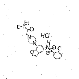 CCN(CC)C(=O)CN1CCN(c2cc(NS(=O)(=O)c3ccccc3Cl)cc3ccoc23)CC1.Cl